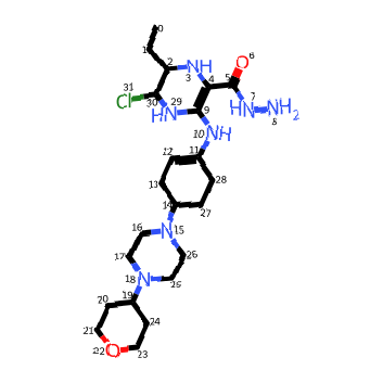 CCC1NC(C(=O)NN)=C(NC2=CCC(N3CCN(C4CCOCC4)CC3)CC2)NC1Cl